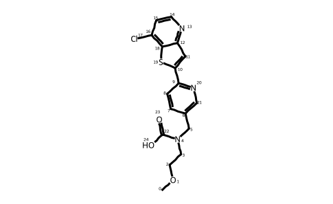 COCCN(Cc1ccc(-c2cc3nccc(Cl)c3s2)nc1)C(=O)O